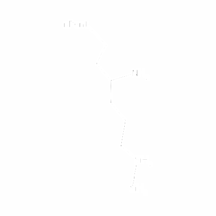 CCCCCCCC(N)CCC[SiH2][SiH3]